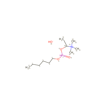 CCCCCCO[PH](=O)OC(C)[N+](C)(C)C.[OH-]